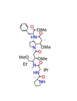 CC[C@H](OC)[C@@H]([C@@H](CC(=O)N1CCC[C@H]1[C@H](OC)[C@@H](C)C(=O)N[C@@H](Cc1ccccc1)C(=O)OC)OC)N(C)C(=O)[C@@H](NC(=O)[C@]1(C)CCCN1)C(C)C